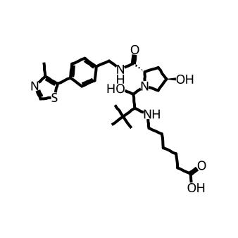 Cc1ncsc1-c1ccc(CNC(=O)[C@@H]2C[C@@H](O)CN2C(O)C(NCCCCCC(=O)O)C(C)(C)C)cc1